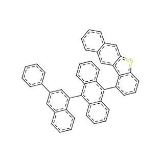 c1ccc(-c2cc(-c3c4ccccc4c(-c4cccc5sc6cc7ccccc7cc6c45)c4ccccc34)c3ccccc3c2)cc1